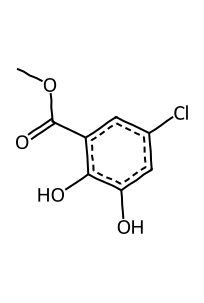 COC(=O)c1cc(Cl)cc(O)c1O